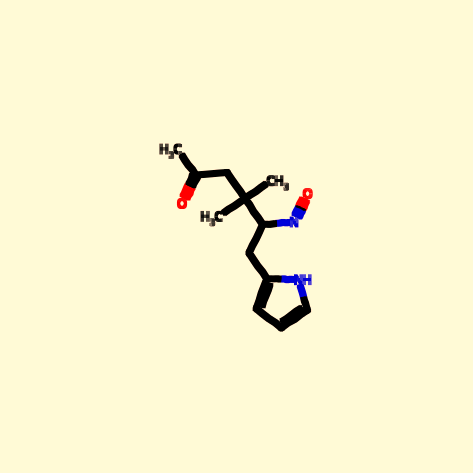 CC(=O)CC(C)(C)C(Cc1ccc[nH]1)N=O